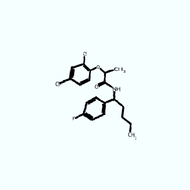 CCCCC(NC(=O)C(C)Oc1ccc(Cl)cc1Cl)c1ccc(F)cc1